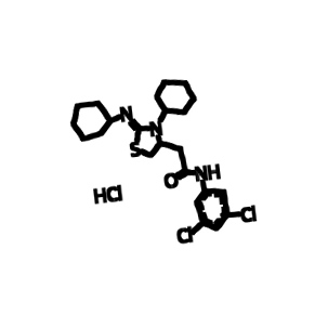 Cl.O=C(CC1CSC(=NC2CCCCC2)N1C1CCCCC1)Nc1cc(Cl)cc(Cl)c1